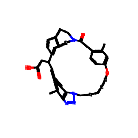 Cc1cc2ccc1C(=O)N1CCc3ccc(cc3C1)C(CC(=O)O)c1ccc3c(nnn3CCCCCO2)c1C